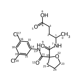 CC(CCC(=O)O)NC(=O)C1(C(=O)Nc2cc(Cl)cc(Cl)c2)OCCS1